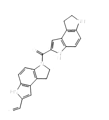 O=Cc1cc2c3c(ccc2[nH]1)N(C(=O)c1cc2c4c(ccc2[nH]1)NCC4)CC3